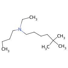 CCCCN(CC)CCCCC(C)(C)C